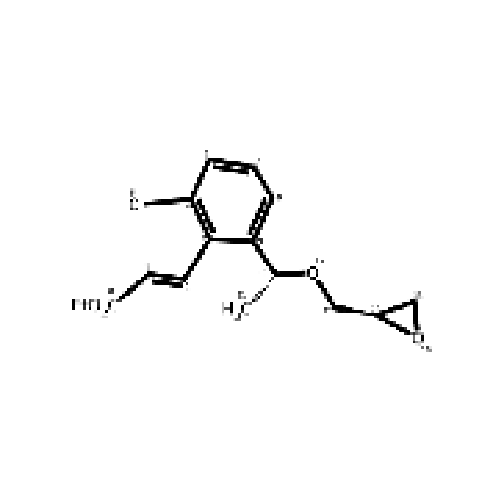 CCOC(=O)/C=C/c1c(Cl)cccc1[C@@H](C)OC[C@H]1CO1